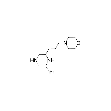 CC(C)C1=CNCC(CCCN2CCOCC2)N1